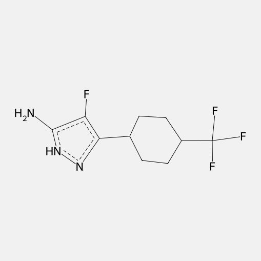 Nc1[nH]nc(C2CCC(C(F)(F)F)CC2)c1F